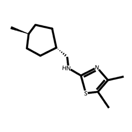 Cc1nc(NC[C@H]2CC[C@H](C)CC2)sc1C